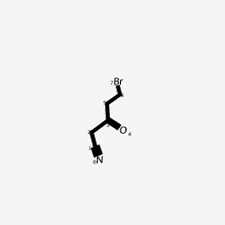 N#CCC(=O)CCBr